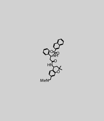 CNCc1ccc2c(c1)OC(C)(C)CC2NC(=O)CC(NS(=O)(=O)c1ccc2ccccc2c1)c1ccccc1